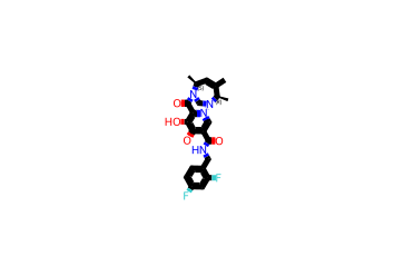 CC1=C[C@H](C)N2CN([C@@H]1C)n1cc(C(=O)NCc3ccc(F)cc3F)c(=O)c(O)c1C2=O